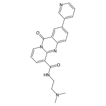 CN(C)CCNC(=O)c1cccn2c(=O)c3cc(-c4cccnc4)ccc3nc12